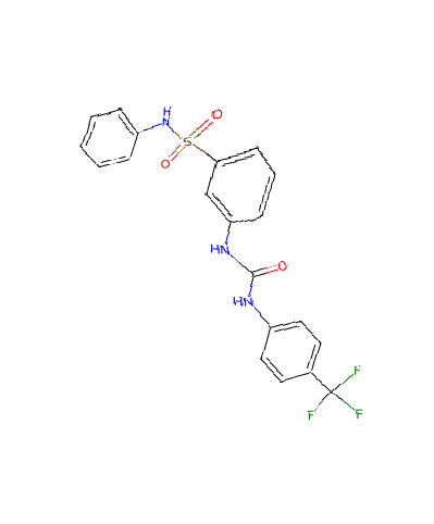 O=C(Nc1ccc(C(F)(F)F)cc1)Nc1cccc(S(=O)(=O)Nc2ccccc2)c1